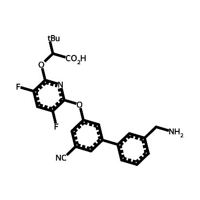 CC(C)(C)C(Oc1nc(Oc2cc(C#N)cc(-c3cccc(CN)c3)c2)c(F)cc1F)C(=O)O